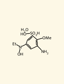 CCN(O)c1ccc(OC)c(N)c1.O.O=S(=O)(O)O